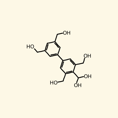 OCc1cc(CO)cc(-c2cc(CO)c(C(O)O)c(CO)c2)c1